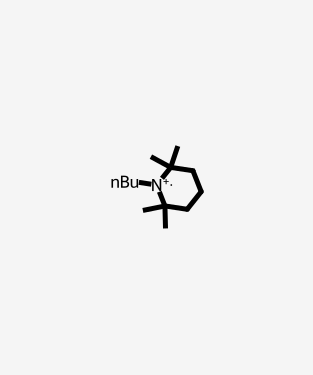 CCCC[N+]1C(C)(C)CCCC1(C)C